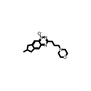 CC1Cc2cc3nc(CCCN4CCOCC4)n[n+]([O-])c3cc2C1